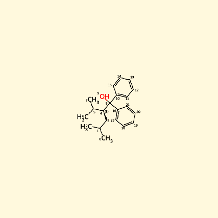 CC(C)C[C@@H](C(C)C)C(O)(c1ccccc1)c1ccccc1